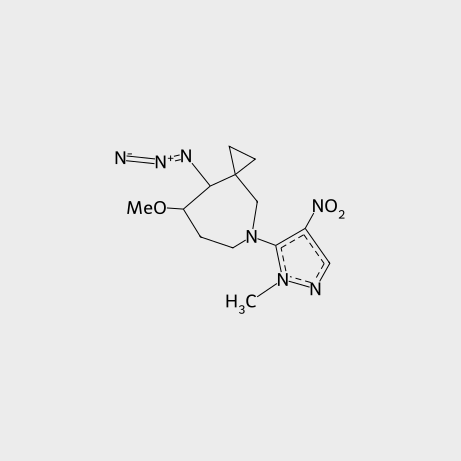 COC1CCN(c2c([N+](=O)[O-])cnn2C)CC2(CC2)C1N=[N+]=[N-]